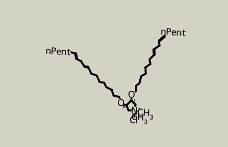 CCCCCC=CCC=CCCCCCCCCO[C@@H]1C[N+](C)(C)C[C@H]1OCCCCCCCCC=CCC=CCCCCC.[Cl-]